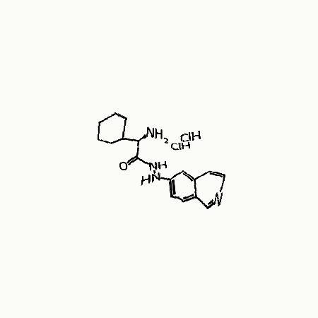 Cl.Cl.N[C@@H](C(=O)NNc1ccc2cnccc2c1)C1CCCCC1